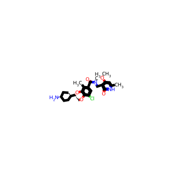 COc1cc(C)[nH]c(=O)c1CN(C)C(=O)c1cc(Cl)c2c(c1C)O[C@@H]([C@H]1CC[C@@H](N)CC1)CO2